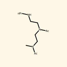 CCCNCCN(CCN(C)C(C)=O)C(C)=O